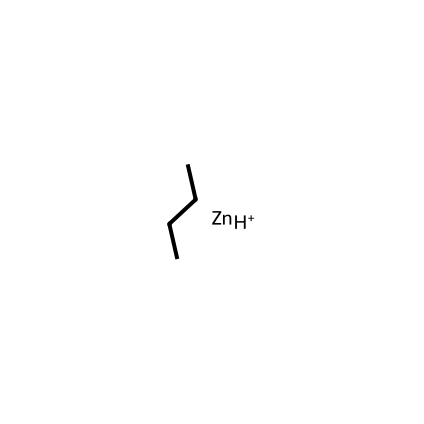 CCCC.[H+].[Zn]